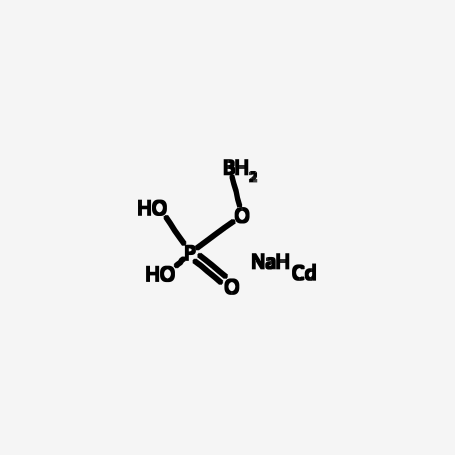 BOP(=O)(O)O.[Cd].[NaH]